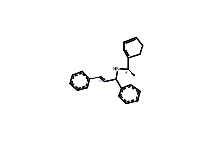 C[C@@H](NC(/C=C/c1ccccc1)c1ccccc1)C1=CC=CCC1